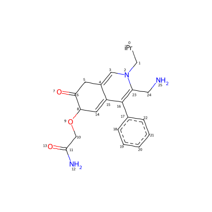 CC(C)CN1C=C2CC(=O)C(OCC(N)=O)C=C2C(c2ccccc2)=C1CN